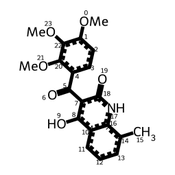 COc1ccc(C(=O)c2c(O)c3cccc(C)c3[nH]c2=O)c(OC)c1OC